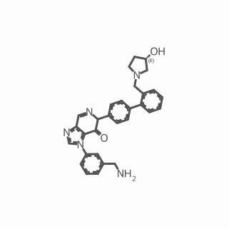 NCc1cccc(-n2cnc3c2C(=O)C(c2ccc(-c4ccccc4CN4CC[C@@H](O)C4)cc2)N=C3)c1